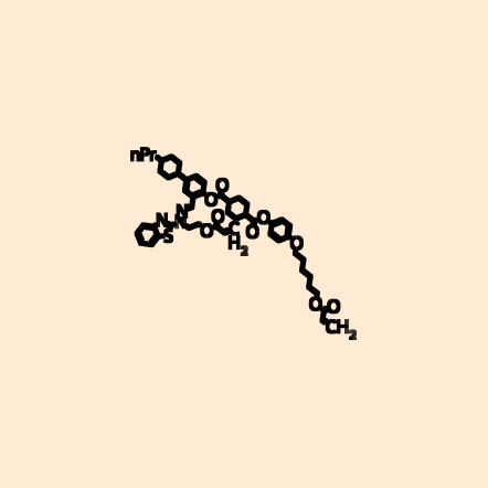 C=CC(=O)OCCCCCCOc1ccc(OC(=O)C2CCC(C(=O)Oc3ccc(C4CCC(CCC)CC4)cc3/C=N/N(CCOC(=O)C=C)c3nc4ccccc4s3)CC2)cc1